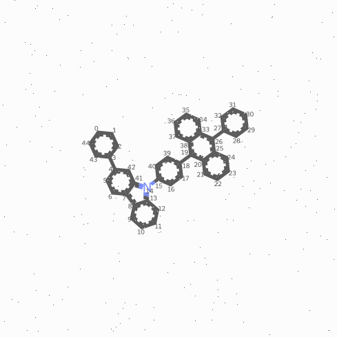 c1ccc(-c2ccc3c4ccccc4n(-c4ccc(-c5c6ccccc6c(-c6ccccc6)c6ccccc56)cc4)c3c2)cc1